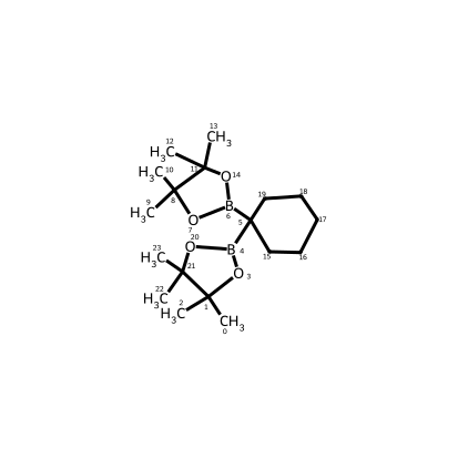 CC1(C)OB(C2(B3OC(C)(C)C(C)(C)O3)CCCCC2)OC1(C)C